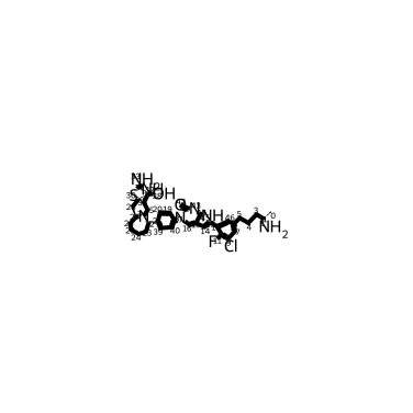 C[C@H](N)CCCc1cc(Cl)c(F)c(-c2cc3cn(-c4ccc([C@@H]5CCCC[C@@H](CCSC(=N)N)N5CCCO)cc4)c(=O)nc3[nH]2)c1